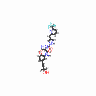 CN1C(=O)[C@H](NC(=O)n2cc(Cc3cccc(C(F)(F)F)n3)cn2)COc2ccc(C#CC(C)(C)O)cc21